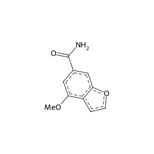 COc1cc(C(N)=O)cc2occc12